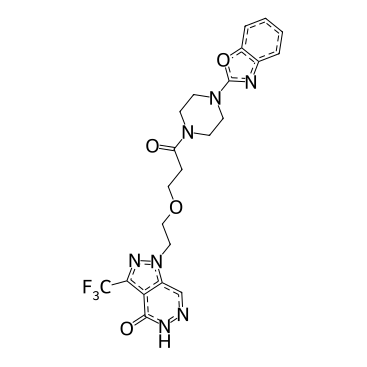 O=C(CCOCCn1nc(C(F)(F)F)c2c(=O)[nH]ncc21)N1CCN(c2nc3ccccc3o2)CC1